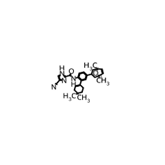 CC1(C)CC=C(c2cc(C3C[C@]4(C)C=C[C@](C)(C3)O4)ccc2NC(=O)c2nc(C#N)c[nH]2)CC1